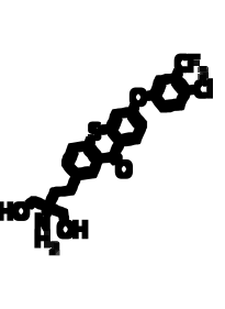 NC(CO)(CO)CCc1ccc2sc3cc(Oc4ccc(Cl)c(C(F)(F)F)c4)ccc3c(=O)c2c1